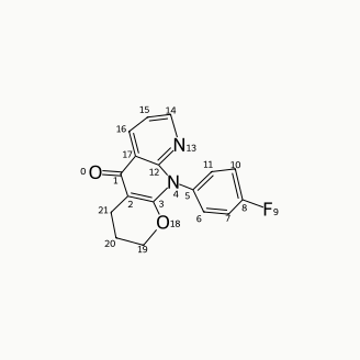 O=c1c2c(n(-c3ccc(F)cc3)c3ncccc13)OCCC2